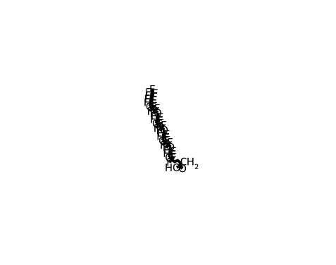 C=C(CCC(F)(F)OC(F)(F)C(F)(F)OC(F)(F)C(F)(F)OC(F)(F)C(F)(F)OC(F)(F)C(F)(F)OC(F)(F)C(F)(F)OC(F)(F)C(F)(F)OC(F)(F)C(F)(F)C(F)(F)C(F)(F)F)C(=O)O